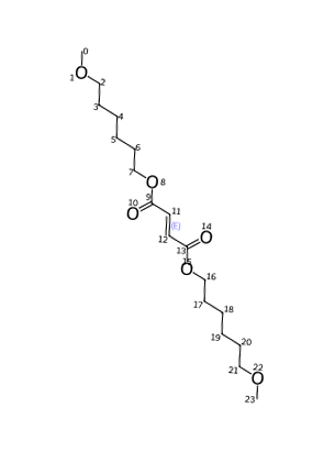 COCCCCCCOC(=O)/C=C/C(=O)OCCCCCCOC